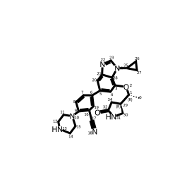 C[C@@H](Oc1cc(-c2ccc(N3CCNCC3)c(C#N)c2)cc2ncn(C3CC3)c12)[C@H]1CNC(=O)C1